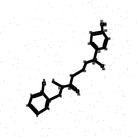 CN(Cc1ccccc1Cl)C(=O)CCC[S+]([O-])c1ccc(O)cc1